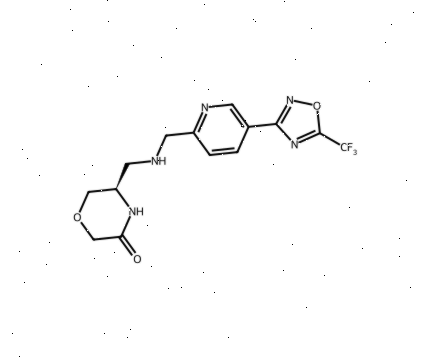 O=C1COC[C@@H](CNCc2ccc(-c3noc(C(F)(F)F)n3)cn2)N1